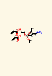 C=CC(=O)O.C=CC(=O)O.CCO[Si](CCCN)(OCC)OCC